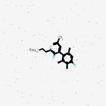 C=C(/C=C(\C(F)=C(/F)CCC(=O)OCC)c1c(C)cc(F)c(C)c1C)C(F)(F)F